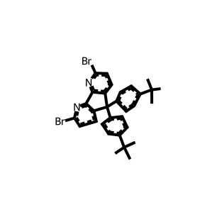 CC(C)(C)c1ccc(C2(c3ccc(C(C)(C)C)cc3)c3ccc(Br)nc3-c3nc(Br)ccc32)cc1